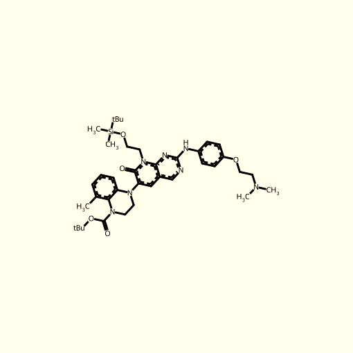 Cc1cccc2c1N(C(=O)OC(C)(C)C)CCN2c1cc2cnc(Nc3ccc(OCCN(C)C)cc3)nc2n(CCO[Si](C)(C)C(C)(C)C)c1=O